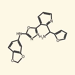 NC(c1ccco1)c1ncccc1-c1nnc(Nc2ccc3c(c2)OCO3)o1